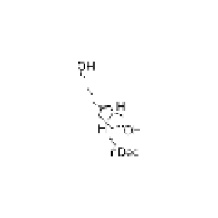 CCCCCCCCCC/C=C/[C@@H]1[C@H]2CC(CCCCCO)=C[C@H]2C[C@H]1O